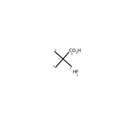 CC(C)(C)C(=O)O.F